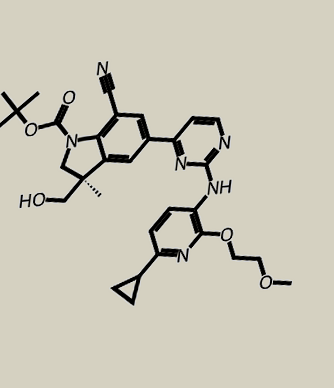 COCCOc1nc(C2CC2)ccc1Nc1nccc(-c2cc(C#N)c3c(c2)[C@@](C)(CO)CN3C(=O)OC(C)(C)C)n1